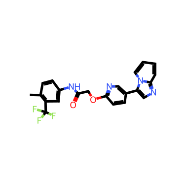 Cc1ccc(NC(=O)COc2ccc(-c3cnc4ccccn34)cn2)cc1C(F)(F)F